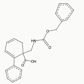 O=C(NCC1(C(=O)O)CC=CC=C1c1ccccc1)OCc1ccccc1